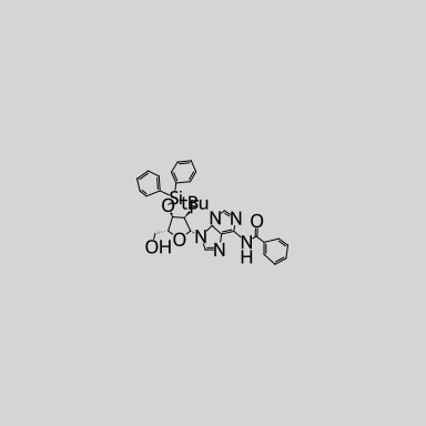 CC(C)(C)[Si](O[C@H]1[C@@H](F)[C@H](n2cnc3c(NC(=O)c4ccccc4)ncnc32)O[C@@H]1CO)(c1ccccc1)c1ccccc1